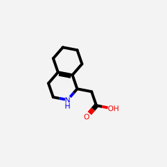 O=C(O)CC1NCCC2=C1CCCC2